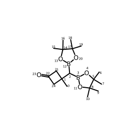 CC1(C(B2OC(C)(C)C(C)(C)O2)B2OC(C)(C)C(C)(C)O2)CC(=O)C1